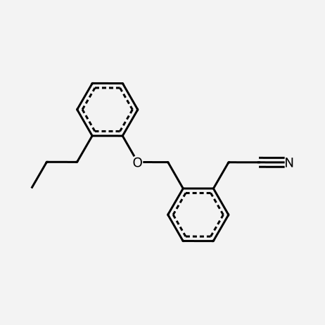 CCCc1ccccc1OCc1ccccc1CC#N